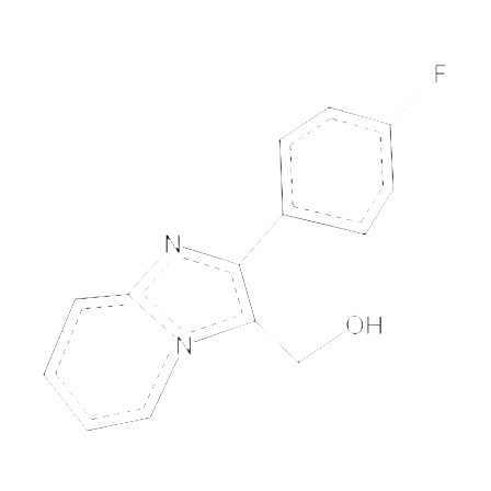 OCc1c(-c2ccc(F)cc2)nc2ccccn12